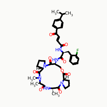 CC(C)c1ccc(C(=O)/C=C/C(=O)N[C@@H](Cc2ccccc2F)C(=O)N[C@H]2COC(=O)[C@@H]3CCCN3C(=O)[C@H](C)NC(=O)[C@H](C)N(C)C(=O)[C@@H]3CCCN3C2=O)cc1